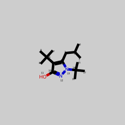 CC(C)Cc1c(C(C)(C)C)c(O)nn1C(C)(C)C